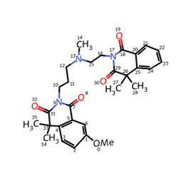 COc1ccc2c(c1)C(=O)N(CCCN(C)CCN1C(=O)c3ccccc3C(C)(C)C1=O)C(=O)C2(C)C